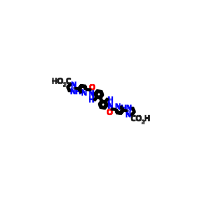 Cc1c(NC(=O)c2ccc(C3=NC(C(=O)O)CCN3)cn2)cccc1-c1cccc(NC(=O)c2ccc(C3=NC(C(=O)O)CCN3)cn2)c1C